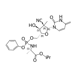 C=C1C=CN([C@@H]2O[C@H](COP(=O)(N[C@@H](C)C(=O)OC(C)C)Oc3ccccc3)[C@@H](O)[C@@]2(C)C#N)C(=O)N1